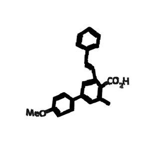 COc1ccc(-c2cc(C)c(C(=O)O)c(/C=C/c3ccccc3)c2)cc1